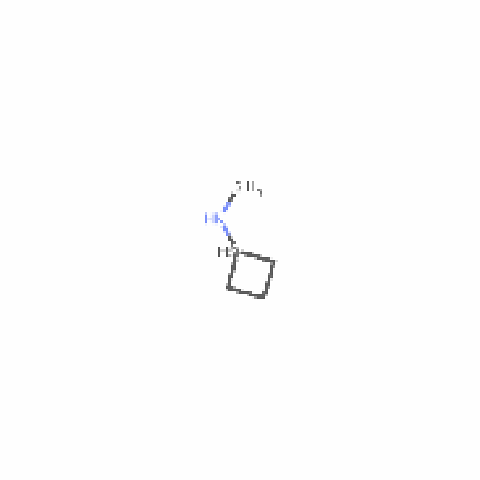 [SiH3]N[SiH]1CCC1